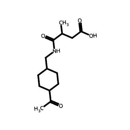 CC(=O)C1CCC(CNC(=O)C(C)CC(=O)O)CC1